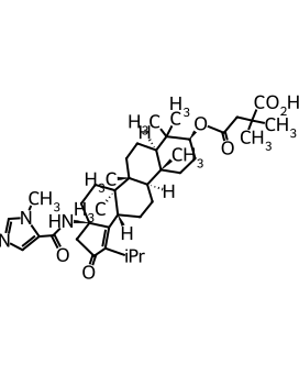 CC(C)C1=C2[C@H]3CC[C@@H]4[C@@]5(C)CC[C@H](OC(=O)CC(C)(C)C(=O)O)C(C)(C)[C@@H]5CC[C@@]4(C)[C@]3(C)CC[C@@]2(NC(=O)c2cncn2C)CC1=O